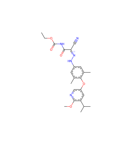 CCOC(=O)NC(=O)/C(C#N)=N\Nc1cc(C)c(Oc2cnc(OC)c(C(C)C)c2)c(C)c1